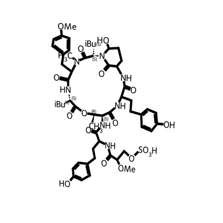 CC[C@H](C)[C@@H]1NC(=O)C(Cc2ccc(OC)cc2)N(C)C(=O)[C@H]([C@@H](C)CC)N2C(=O)C(CCC2O)NC(=O)C(CCc2ccc(O)cc2)NC(=O)[C@@H](NC(=O)C(CCc2ccc(O)cc2)NC(=O)C(COS(=O)(=O)O)OC)[C@@H](C)OC1=O